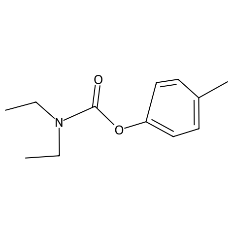 CCN(CC)C(=O)Oc1ccc(C)cc1